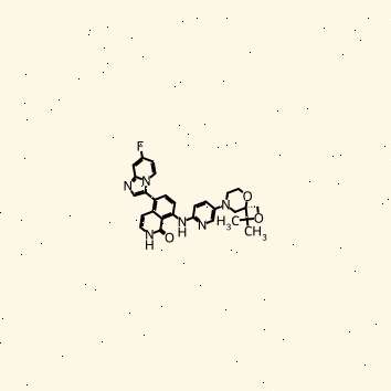 CC1(C)OC[C@@]12CN(c1ccc(Nc3ccc(-c4cnc5cc(F)ccn45)c4cc[nH]c(=O)c34)nc1)CCO2